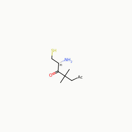 CC(=O)CC(C)(C)C(=O)[C@@H](N)CS